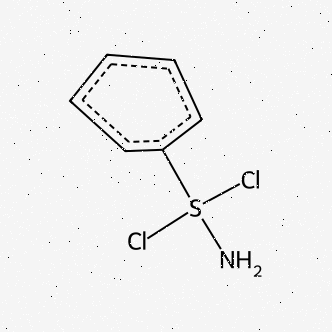 NS(Cl)(Cl)c1ccccc1